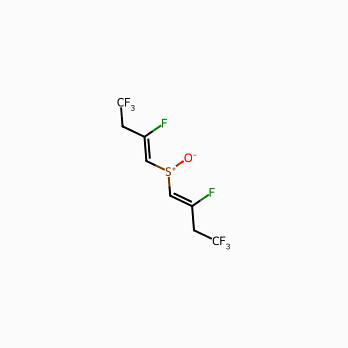 [O-][S+](C=C(F)CC(F)(F)F)C=C(F)CC(F)(F)F